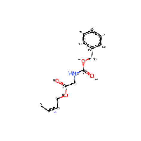 C/C=C\COC(=O)CNC(=O)OCc1ccccc1